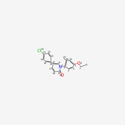 CCOc1ccc(-n2cc(-c3ccc(Cl)cc3)ccc2=O)c(C)c1